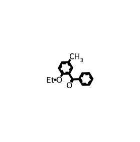 CCOc1ccc(C)cc1C(=O)c1ccccc1